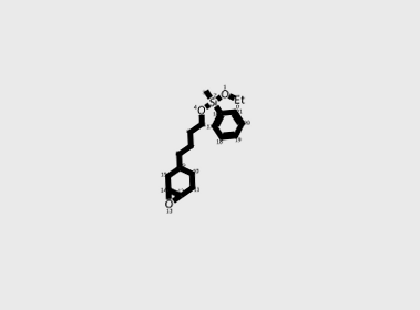 CCO[Si](C)(OCCCCC1CCC2OC2C1)c1ccccc1